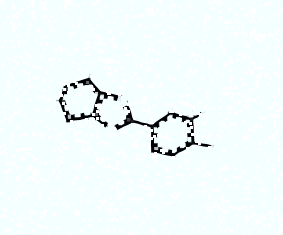 Oc1ccc(-c2nc3ccccc3s2)cc1Cl